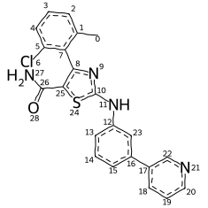 Cc1cccc(Cl)c1-c1nc(Nc2cccc(-c3cccnc3)c2)sc1C(N)=O